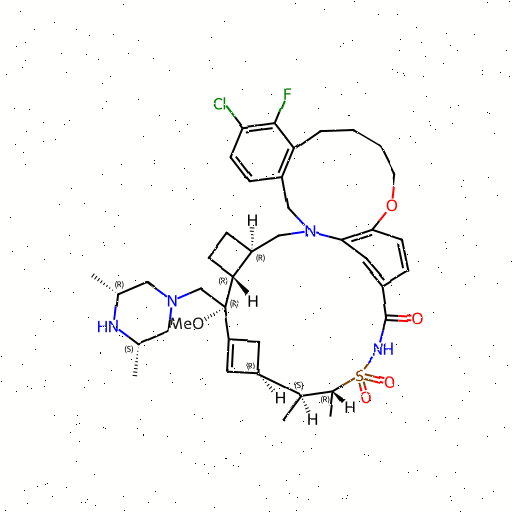 CO[C@@]1(CN2C[C@@H](C)N[C@@H](C)C2)C2=C[C@@H](C2)[C@H](C)[C@@H](C)S(=O)(=O)NC(=O)c2ccc3c(c2)N(Cc2ccc(Cl)c(F)c2CCCCO3)C[C@@H]2CC[C@H]21